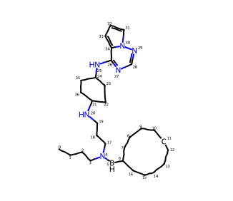 CCCCN(BC1CCCCCCCCCC1)CCCNC1CCC(Nc2ncnn3cccc23)CC1